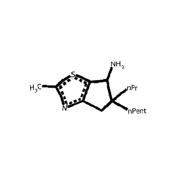 CCCCCC1(CCC)Cc2nc(C)sc2C1N